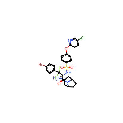 NC1CC2CCC(C1)N2C(=O)[C@H](NS(=O)(=O)c1ccc(Oc2ccc(Cl)cn2)cc1)C(F)(F)c1ccc(Br)cc1